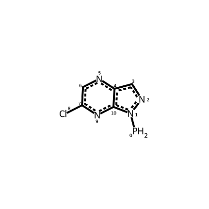 Pn1ncc2ncc(Cl)nc21